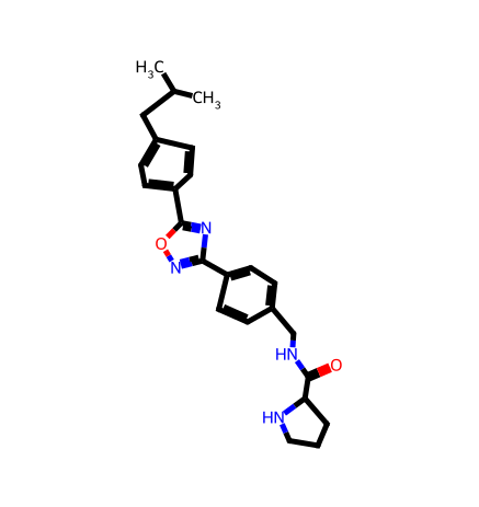 CC(C)Cc1ccc(-c2nc(-c3ccc(CNC(=O)C4CCCN4)cc3)no2)cc1